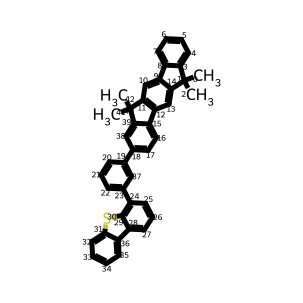 CC1(C)c2ccccc2-c2cc3c(cc21)-c1ccc(-c2cccc(-c4cccc5c4sc4ccccc45)c2)cc1C3(C)C